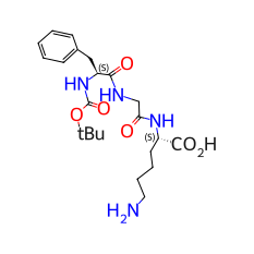 CC(C)(C)OC(=O)N[C@@H](Cc1ccccc1)C(=O)NCC(=O)N[C@@H](CCCCN)C(=O)O